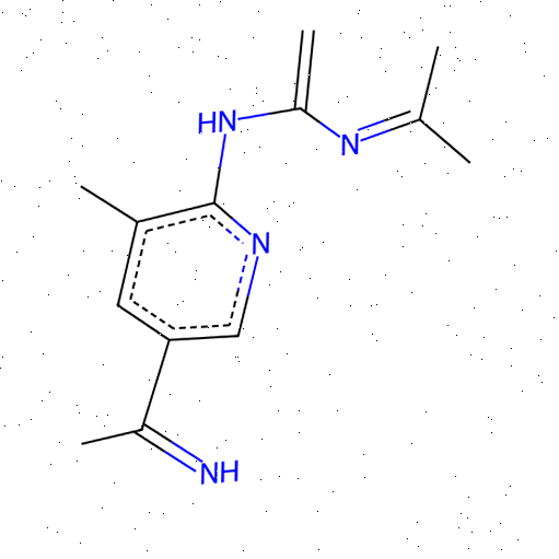 C=C(N=C(C)C)Nc1ncc(C(C)=N)cc1C